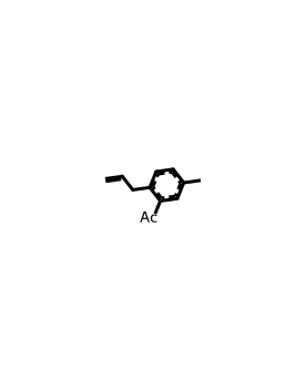 C=CCc1ccc(C)cc1C(C)=O